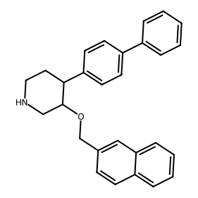 c1ccc(-c2ccc(C3CCNCC3OCc3ccc4ccccc4c3)cc2)cc1